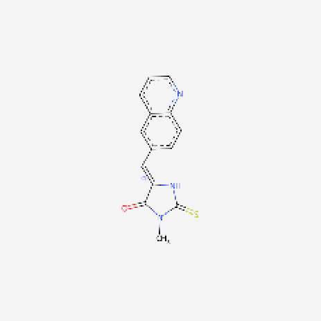 CN1C(=O)/C(=C/c2ccc3ncccc3c2)NC1=S